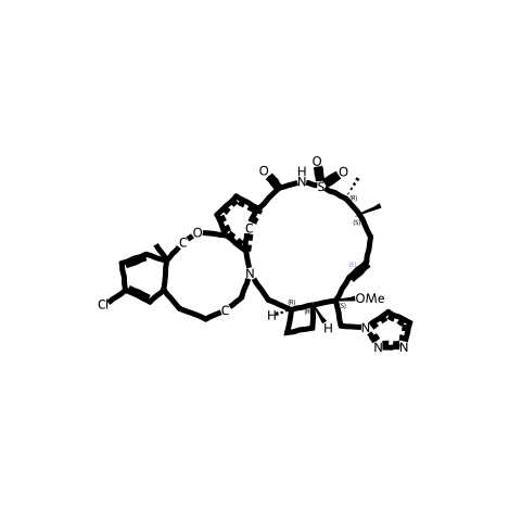 CO[C@]1(Cn2ccnn2)/C=C/C[C@H](C)[C@@H](C)S(=O)(=O)NC(=O)c2ccc3c(c2)N(CCCCC2C=C(Cl)C=CC2(C)CO3)C[C@@H]2CC[C@H]21